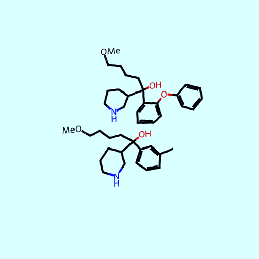 COCCCCC(O)(c1cccc(C)c1)C1CCCNC1.COCCCCC(O)(c1ccccc1Oc1ccccc1)C1CCCNC1